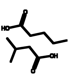 CC(C)CC(=O)O.CCCCC(=O)O